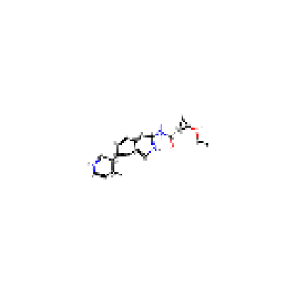 CCOC1C[C@H]1C(=O)Nc1cc2ccc(-c3cnccc3C)cc2cn1